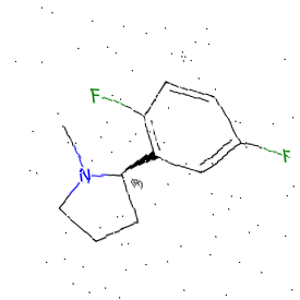 CN1CCC[C@@H]1c1cc(F)ccc1F